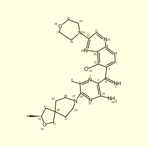 Cc1nc(C(=N)c2ccc3ncc(N4CCOCC4)nc3c2Cl)c(N)nc1N1CCC2(CC1)CO[C@@H](C)C2